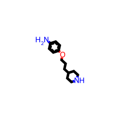 Nc1ccc(OCCCC2CCNCC2)cc1